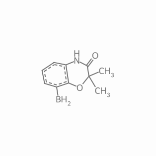 Bc1cccc2c1OC(C)(C)C(=O)N2